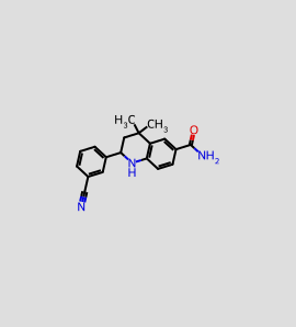 CC1(C)CC(c2cccc(C#N)c2)Nc2ccc(C(N)=O)cc21